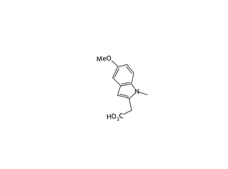 COc1ccc2c(c1)cc(CC(=O)O)n2C